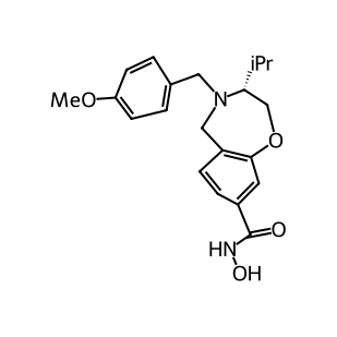 COc1ccc(CN2Cc3ccc(C(=O)NO)cc3OC[C@H]2C(C)C)cc1